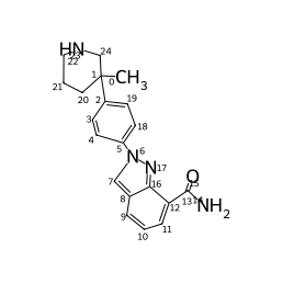 CC1(c2ccc(-n3cc4cccc(C(N)=O)c4n3)cc2)CCCNC1